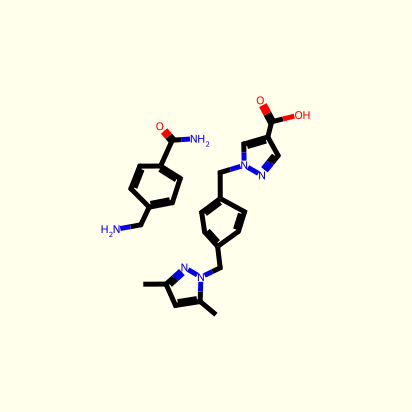 Cc1cc(C)n(Cc2ccc(Cn3cc(C(=O)O)cn3)cc2)n1.NCc1ccc(C(N)=O)cc1